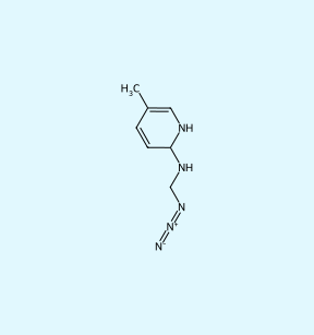 CC1=CNC(NCN=[N+]=[N-])C=C1